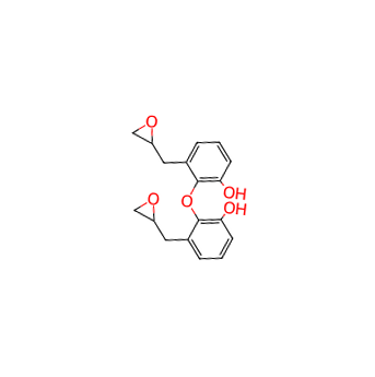 Oc1cccc(CC2CO2)c1Oc1c(O)cccc1CC1CO1